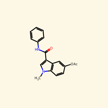 CC(=O)Oc1ccc2c(c1)c(C(=O)Nc1ccccc1)cn2C